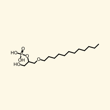 CCCCCCCCCCCCOCC(CO)OP(=O)(O)O